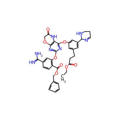 CCOC(=O)CCc1cc(Oc2nc(Oc3cc(C(=N)N)ccc3C(=O)OCc3ccccc3)nc3c2NC(=O)CO3)cc(C2N=CCCN2)c1